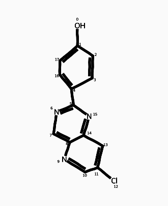 Oc1ccc(-c2ncc3ncc(Cl)cc3n2)cc1